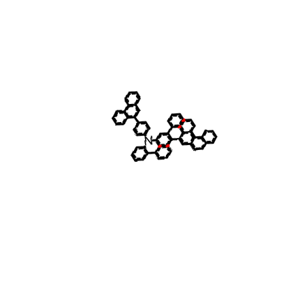 c1ccc(-c2cc(N(c3ccc(-c4cc5ccccc5c5ccccc45)cc3)c3ccccc3-c3ccccc3)ccc2-c2cc3ccc4ccccc4c3c3ccccc23)cc1